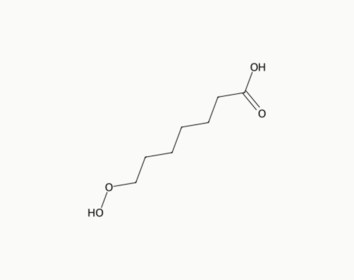 O=C(O)CCCCCCOO